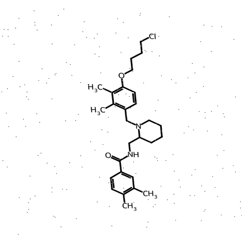 Cc1ccc(C(=O)NCC2CCCCN2Cc2ccc(OCCCCCl)c(C)c2C)cc1C